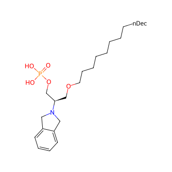 CCCCCCCCCCCCCCCCCCOC[C@H](COP(=O)(O)O)N1Cc2ccccc2C1